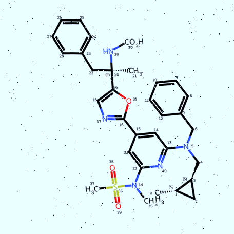 C[C@H]1C[C@@H]1CN(Cc1ccccc1)c1cc(-c2ncc([C@@](C)(Cc3ccccc3)NC(=O)O)o2)cc(N(C)S(C)(=O)=O)n1